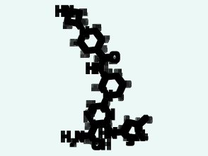 Cc1cc(Nc2nc(N3CCCC(NC(=O)C4CCN(C5CNC5)CC4)C3)cnc2C(N)O)sn1